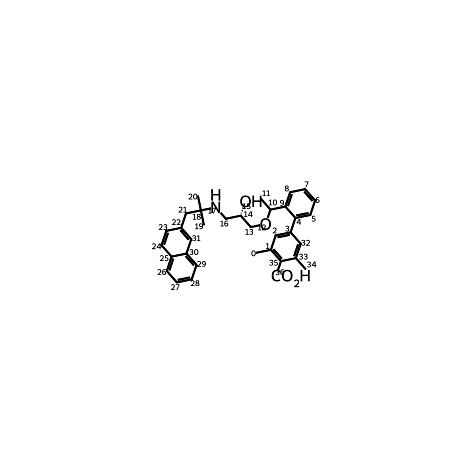 Cc1cc(-c2ccccc2C(C)OC[C@@H](O)CNC(C)(C)Cc2ccc3ccccc3c2)cc(C)c1C(=O)O